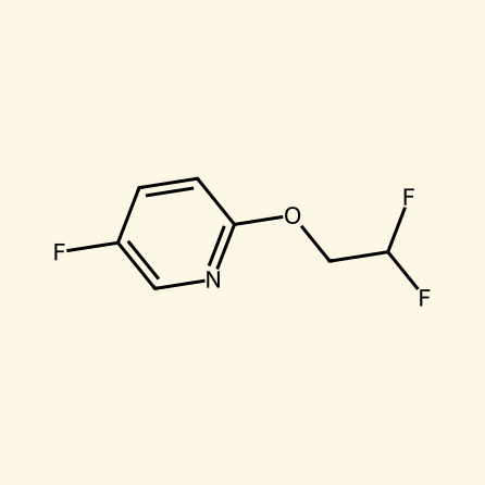 Fc1ccc(OCC(F)F)nc1